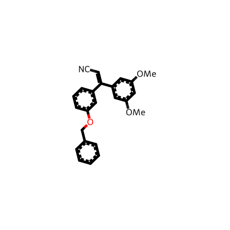 COc1cc(OC)cc(/C(=C/C#N)c2cccc(OCc3ccccc3)c2)c1